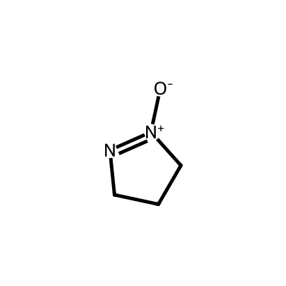 [O-][N+]1=NCCC1